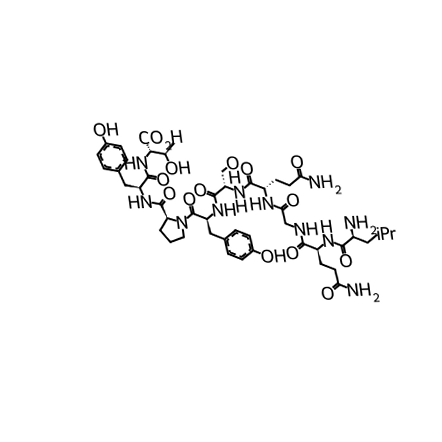 CC(C)C[C@H](N)C(=O)N[C@@H](CCC(N)=O)C(=O)NCC(=O)N[C@@H](CCC(N)=O)C(=O)N[C@@H](CO)C(=O)N[C@@H](Cc1ccc(O)cc1)C(=O)N1CCC[C@H]1C(=O)N[C@@H](Cc1ccc(O)cc1)C(=O)N[C@H](C(=O)O)[C@@H](C)O